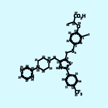 Cc1cc(SCc2sc(-c3ccc(C(F)(F)F)cc3)nc2CN2CCN(c3cnccn3)CC2)ccc1OC(C)C(=O)O